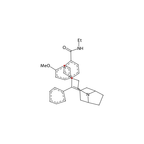 CCNC(=O)c1ccc(C(=C2CC3CCC(C2)N3CCc2ccc(OC)cc2)c2ccccc2)cc1